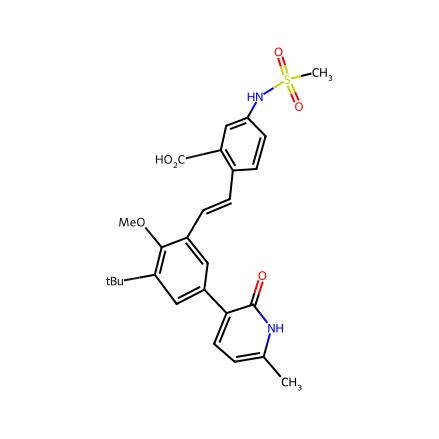 COc1c(C=Cc2ccc(NS(C)(=O)=O)cc2C(=O)O)cc(-c2ccc(C)[nH]c2=O)cc1C(C)(C)C